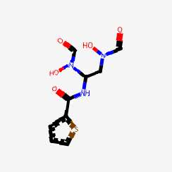 O=CN(O)CC(NC(=O)c1cccs1)N(O)C=O